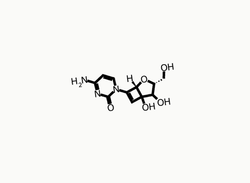 Nc1ccn(C2=CC3(O)C(O)[C@@H](CO)O[C@@H]23)c(=O)n1